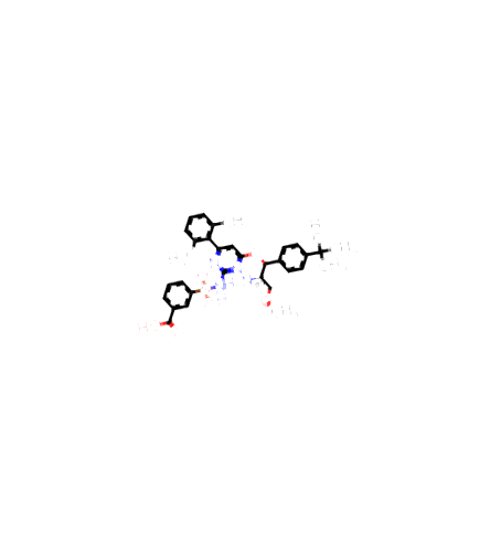 COC[C@@H](N)C(Oc1cc(-c2c(C)cccc2C)nc(NS(=O)(=O)c2cccc(C(=O)O)c2)n1)c1ccc(C(C)(C)C)cc1